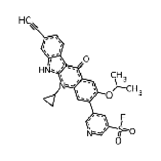 C#Cc1ccc2c(c1)[nH]c1c2c(=O)c2cc(OC(C)C)c(-c3cncc(S(=O)(=O)F)c3)cc2n1C1CC1